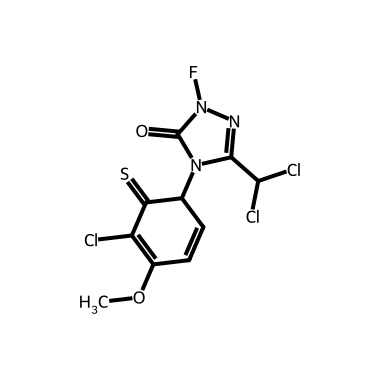 COC1=C(Cl)C(=S)C(n2c(C(Cl)Cl)nn(F)c2=O)C=C1